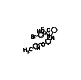 Cc1ccc(COc2ccc3nc(C4CCCC[C@H]4C(=O)O)n(Cc4ccc(Br)cc4F)c3c2)nc1